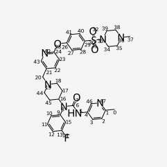 Cc1ccc(NC(=O)N(c2cccc(F)c2)C2CCN(Cc3ccc(Oc4ccc(S(=O)(=O)N5CCN(C)CC5)cc4)nc3)CC2)cn1